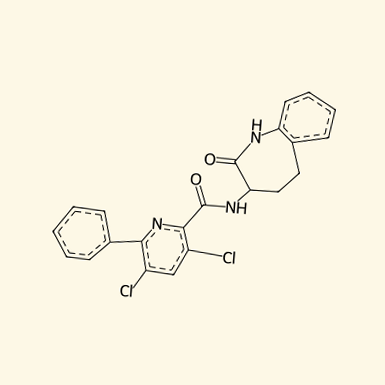 O=C(NC1CCc2ccccc2NC1=O)c1nc(-c2ccccc2)c(Cl)cc1Cl